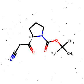 CC(C)(C)OC(=O)N1CCC[C@H]1C(=O)CC#N